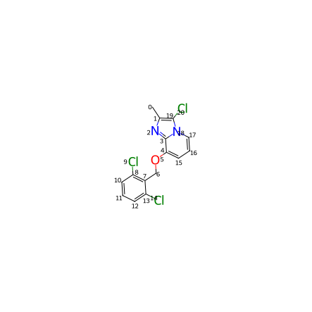 Cc1nc2c(OCc3c(Cl)cccc3Cl)cccn2c1Cl